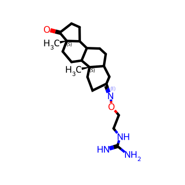 C[C@]12CC/C(=N\OCCNC(=N)N)CC1CCC1C2CC[C@]2(C)C(=O)CCC12